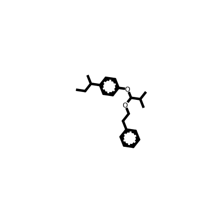 CCC(C)c1ccc(OC(OCCc2ccccc2)C(C)C)cc1